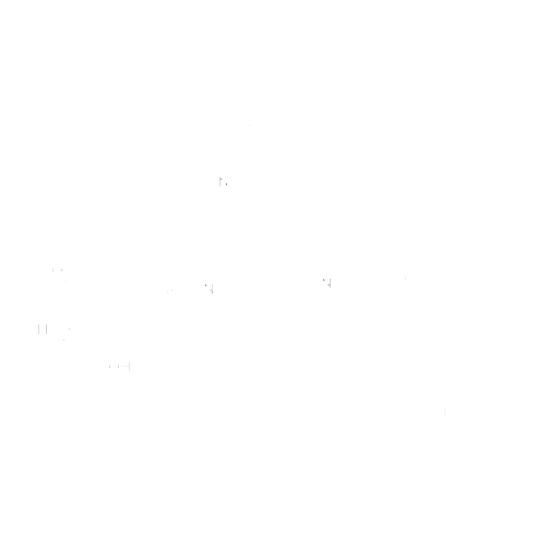 CC(C)N(CC(Cc1cscn1)CN1CCC2(CC1)OCc1ccc(F)cc12)C(=O)CC(O)(CC(=O)O)C(=O)O